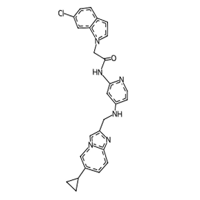 O=C(Cn1ccc2ccc(Cl)cc21)Nc1cc(NCc2cn3cc(C4CC4)ccc3n2)ccn1